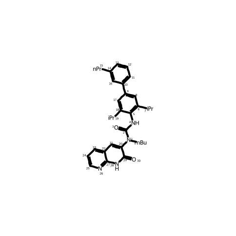 CCCCN(C(=O)Nc1c(C(C)C)cc(-c2cccc(CCC)c2)cc1C(C)C)c1cc2cccnc2[nH]c1=O